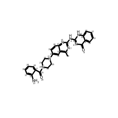 Cc1nc(Nc2nc(=O)c3ccccc3[nH]2)nc2ccc(N3CCN(C(=O)c4ccccc4N)CC3)cc12